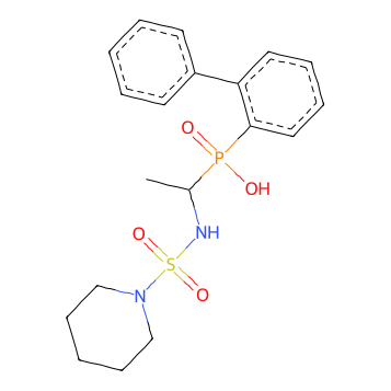 CC(NS(=O)(=O)N1CCCCC1)P(=O)(O)c1ccccc1-c1ccccc1